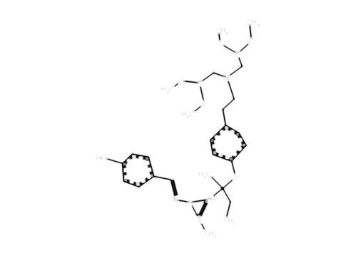 CCC(C)(Oc1ccc(CCN(CP(OC)OC)CP(OC)OC)cc1)[PH]1=S(C)N1N=Cc1ccc(O)cc1